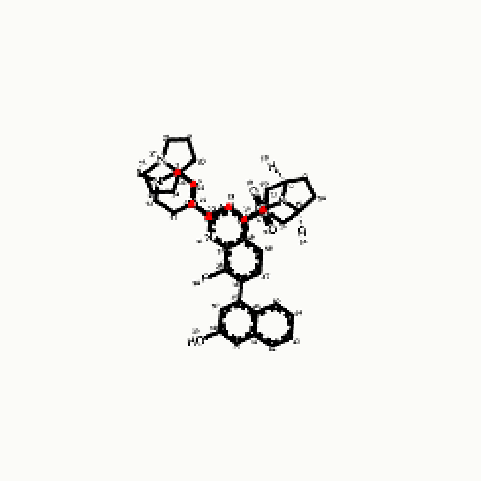 CN1CCN(CCNS(=O)(=O)N2[C@@H]3CC[C@H]2CN(c2nc(OCC45CCCN4CCC5)nc4c(F)c(-c5cc(O)cc6ccccc56)ccc24)C3)CC1